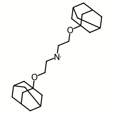 C(COC12CC3CC(CC(C3)C1)C2)[N]CCOC12CC3CC(CC(C3)C1)C2